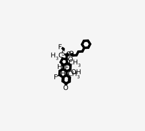 C[C@@H]1C[C@H]2[C@@H]3C[C@H](F)C4=CC(=O)C=C[C@]4(C)[C@@]3(F)[C@@H](O)C[C@]2(C)[C@@]1(OC(=O)CCCC1CCCCC1)C(=O)SCF